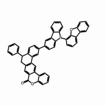 O=c1oc2ccccc2c2cc3c(cc12)CC(c1ccccc1)c1ccc(-c2ccc4c(c2)c2ccccc2n4-c2cccc4c2oc2ccccc24)cc1-3